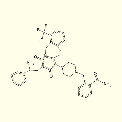 Cc1c(N2CCN(Cc3ccccc3C(N)=O)CC2)c(=O)n(CC(N)c2ccccc2)c(=O)n1Cc1c(F)cccc1C(F)(F)F